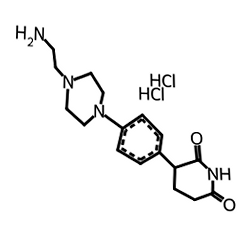 Cl.Cl.NCCN1CCN(c2ccc(C3CCC(=O)NC3=O)cc2)CC1